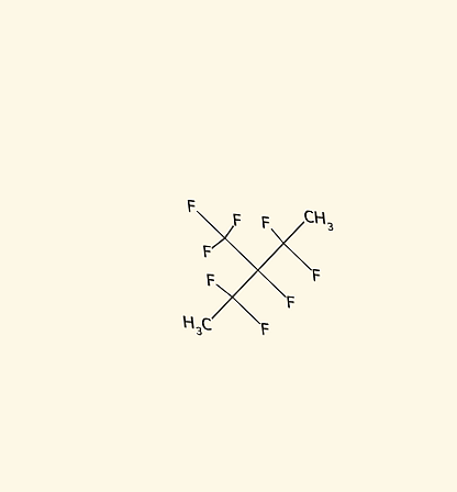 CC(F)(F)C(F)(C(C)(F)F)C(F)(F)F